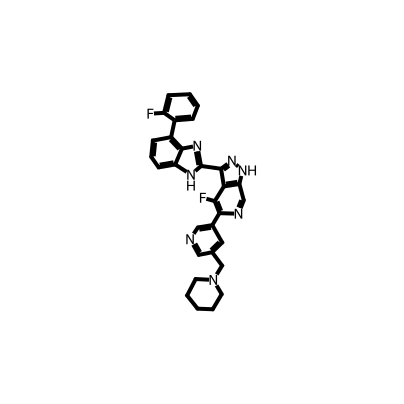 Fc1ccccc1-c1cccc2[nH]c(-c3n[nH]c4cnc(-c5cncc(CN6CCCCC6)c5)c(F)c34)nc12